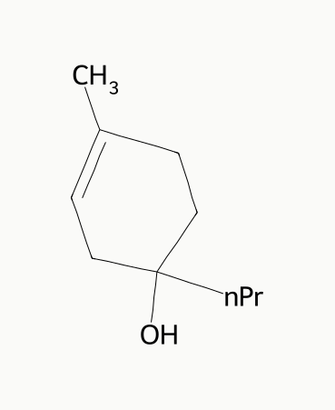 CCCC1(O)CC=C(C)CC1